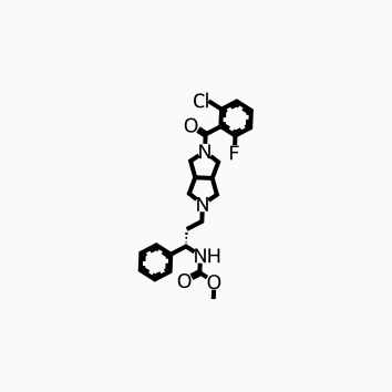 COC(=O)N[C@@H](CCN1CC2CN(C(=O)c3c(F)cccc3Cl)CC2C1)c1ccccc1